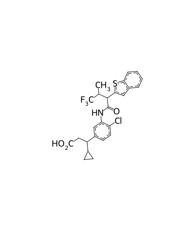 CC(C(C(=O)Nc1cc(C(CC(=O)O)C2CC2)ccc1Cl)c1cc2ccccc2s1)C(F)(F)F